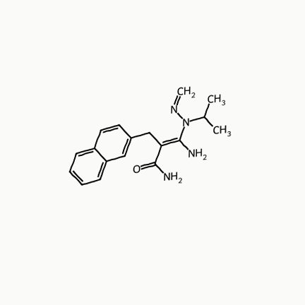 C=NN(/C(N)=C(\Cc1ccc2ccccc2c1)C(N)=O)C(C)C